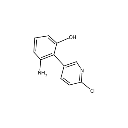 Nc1cccc(O)c1-c1ccc(Cl)nc1